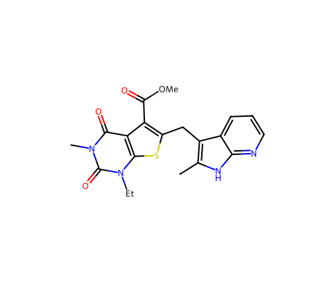 CCn1c(=O)n(C)c(=O)c2c(C(=O)OC)c(Cc3c(C)[nH]c4ncccc34)sc21